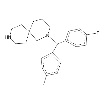 Cc1ccc(C(c2ccc(F)cc2)N2CCCC3(CCNCC3)C2)cc1